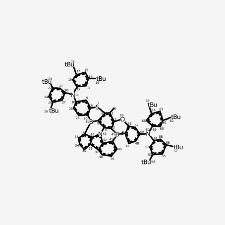 Cc1c2c3c4c5c1Sc1cc(N(c6cc(C(C)(C)C)cc(C(C)(C)C)c6)c6cc(C(C)(C)C)cc(C(C)(C)C)c6)ccc1B5c1cccc5c6cccc(c6n-4c15)B3c1ccc(N(c3cc(C(C)(C)C)cc(C(C)(C)C)c3)c3cc(C(C)(C)C)cc(C(C)(C)C)c3)cc1O2